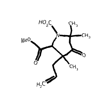 C=CCC1(C)C(=O)C(C)(C)N(C(=O)O)C1C(=O)OC